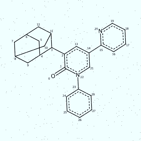 O=c1c(C2C3CC4CC(C3)CC2C4)cc(-c2ccccn2)cn1-c1ccccc1